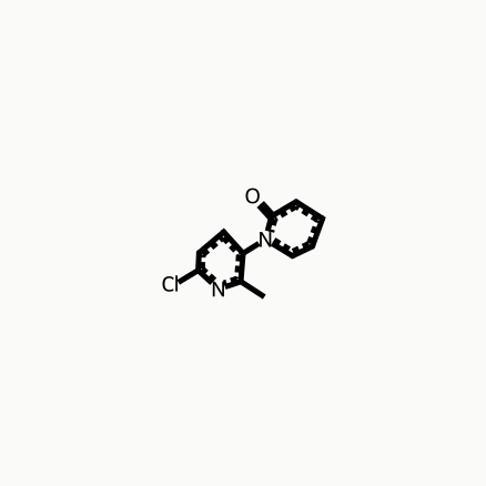 Cc1nc(Cl)ccc1-n1ccccc1=O